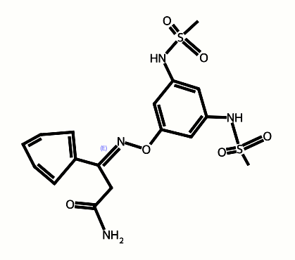 CS(=O)(=O)Nc1cc(NS(C)(=O)=O)cc(O/N=C(\CC(N)=O)c2ccccc2)c1